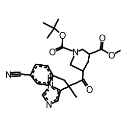 COC(=O)C1CC(C(=O)C(C)(Cc2ccc(C#N)cc2)c2cnc[nH]2)CN(C(=O)OC(C)(C)C)C1